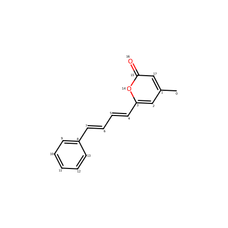 Cc1cc(C=CC=Cc2ccccc2)oc(=O)c1